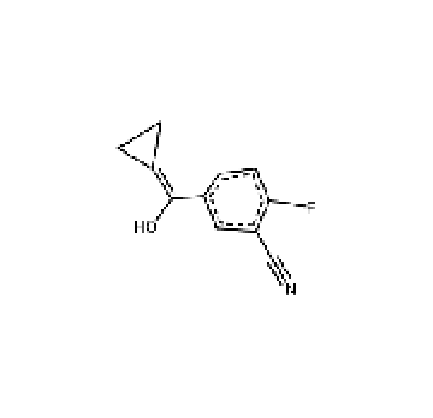 N#Cc1cc(C(O)=C2CC2)ccc1F